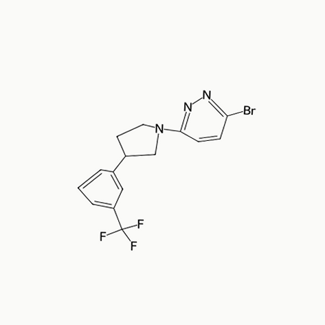 FC(F)(F)c1cccc(C2CCN(c3ccc(Br)nn3)C2)c1